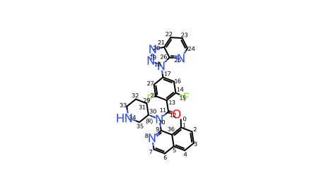 Cc1cccc2ccnc(N(C(=O)c3c(F)cc(-n4nnc5cccnc54)cc3F)[C@@H]3CCCNC3)c12